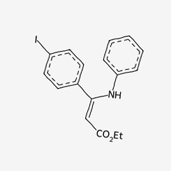 CCOC(=O)/C=C(\Nc1ccccc1)c1ccc(I)cc1